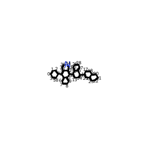 c1ccc(-c2c3ccccc3c(-c3ccc(-c4ccc5ccccc5c4)c4ccccc34)c3cnccc23)cc1